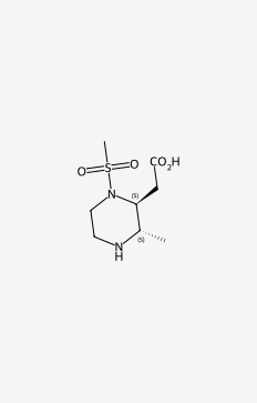 C[C@@H]1NCCN(S(C)(=O)=O)[C@H]1CC(=O)O